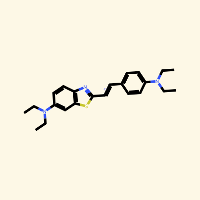 CCN(CC)c1ccc(/C=C/c2nc3ccc(N(CC)CC)cc3s2)cc1